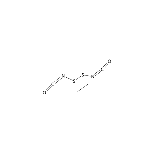 CC.O=C=NSSN=C=O